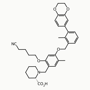 Cc1cc(CN2CCCC[C@H]2C(=O)O)c(OCCCCC#N)cc1OCc1cccc(-c2ccc3c(c2)OCCO3)c1C